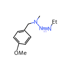 CC/N=N\N(C)Cc1ccc(OC)cc1